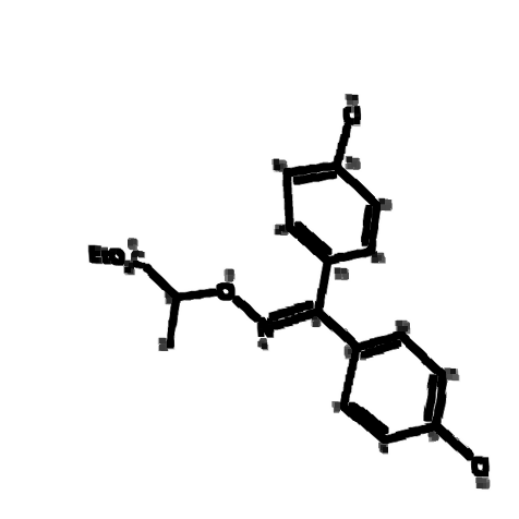 CCOC(=O)C(C)ON=C(c1ccc(Cl)cc1)c1ccc(Cl)cc1